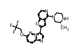 C[C@@H]1CN(c2nccc3oc(-c4cnc5ccc(OCC(F)(F)F)nn45)cc23)CCN1